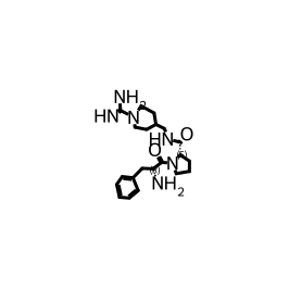 N=C(N)N1CCC(CNC(=O)[C@@H]2CCCN2C(=O)[C@H](N)Cc2ccccc2)CC1